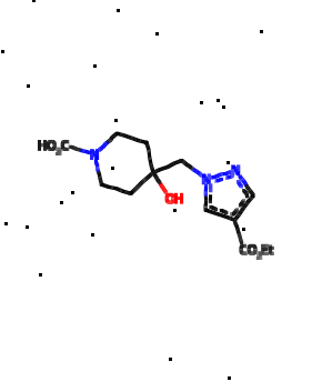 CCOC(=O)c1cnn(CC2(O)CCN(C(=O)O)CC2)c1